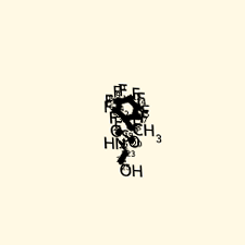 CC(C1(F)C(F)(F)C(F)(F)C(F)(F)C(F)(F)C1(F)F)S(=O)(=O)NCCO